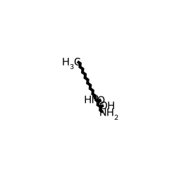 CCCCCCCCCCCCCCNC(=O)CC(O)CN